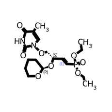 CCOP(=O)(/C=C/[C@@H](COn1cc(C)c(=O)[nH]c1=O)O[C@@H]1CCCCO1)OCC